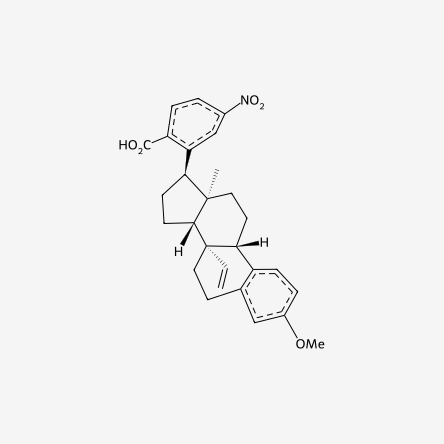 C=C[C@@]12CCc3cc(OC)ccc3[C@H]1CC[C@@]1(C)[C@H]2CC[C@H]1c1cc([N+](=O)[O-])ccc1C(=O)O